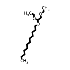 CCCCCCCCCCCCO[C](COCC)OCC